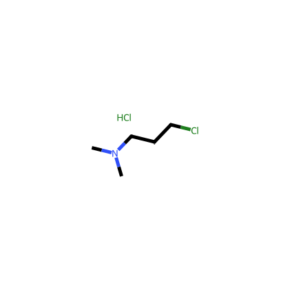 CN(C)C[CH]CCl.Cl